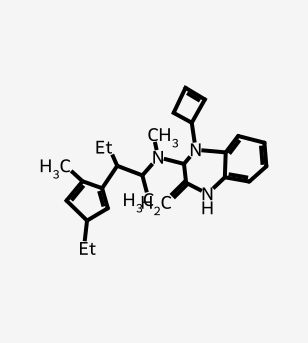 C=C1Nc2ccccc2N(C2C=CC2)C1N(C)C(C)C(CC)C1=CC(CC)C=C1C